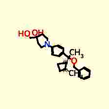 C[C@@H]1CC[C@@H]1C(C)(OCc1ccccc1)c1ccc(N2CCC(O)(CO)CC2)cc1